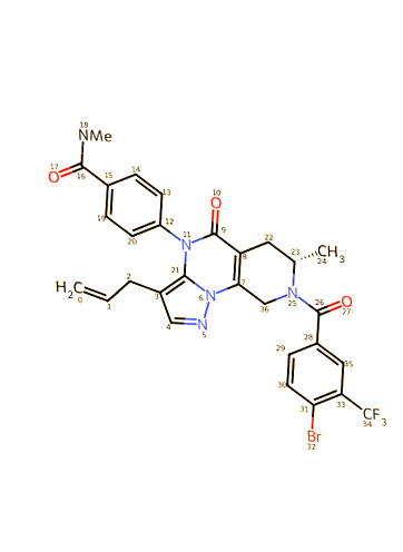 C=CCc1cnn2c3c(c(=O)n(-c4ccc(C(=O)NC)cc4)c12)C[C@H](C)N(C(=O)c1ccc(Br)c(C(F)(F)F)c1)C3